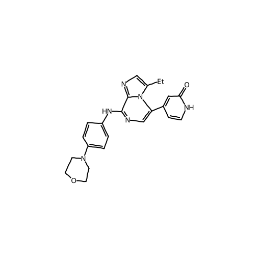 CCc1cnc2c(Nc3ccc(N4CCOCC4)cc3)ncc(-c3cc[nH]c(=O)c3)n12